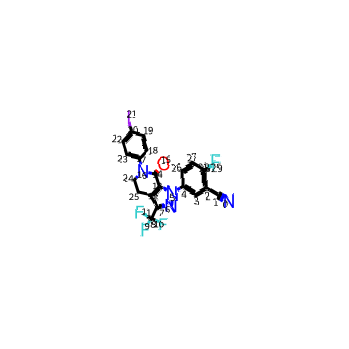 N#Cc1cc(-n2nc(C(F)(F)F)c3c2C(=O)N(c2ccc(I)cc2)CC3)ccc1F